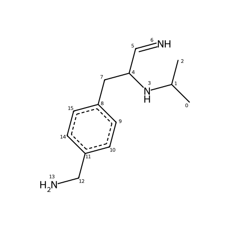 CC(C)NC(C=N)Cc1ccc(CN)cc1